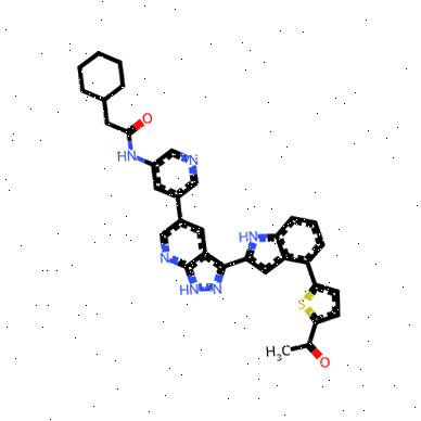 CC(=O)c1ccc(-c2cccc3[nH]c(-c4n[nH]c5ncc(-c6cncc(NC(=O)CC7CCCCC7)c6)cc45)cc23)s1